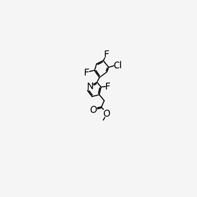 COC(=O)Cc1ccnc(-c2cc(Cl)c(F)cc2F)c1F